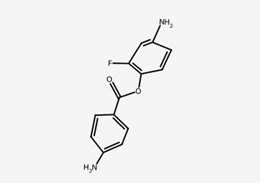 Nc1ccc(C(=O)Oc2ccc(N)cc2F)cc1